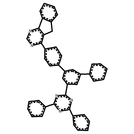 c1ccc(-c2cc(-c3ccc(-c4ncnc5c4Cc4ccccc4-5)cc3)cc(-c3nc(-c4ccccc4)nc(-c4ccccc4)n3)c2)cc1